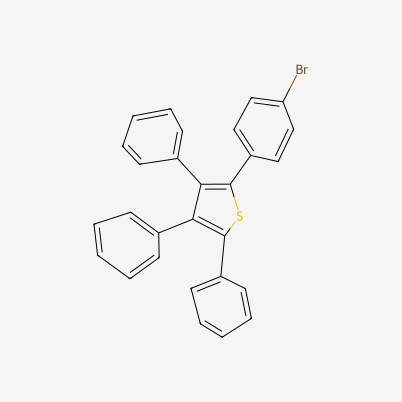 Brc1ccc(-c2sc(-c3ccccc3)c(-c3ccccc3)c2-c2ccccc2)cc1